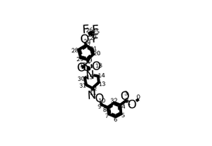 COC(=O)c1cccc(CON=C2CCN(S(=O)(=O)c3ccc(OC(F)(F)F)cc3)CC2)c1